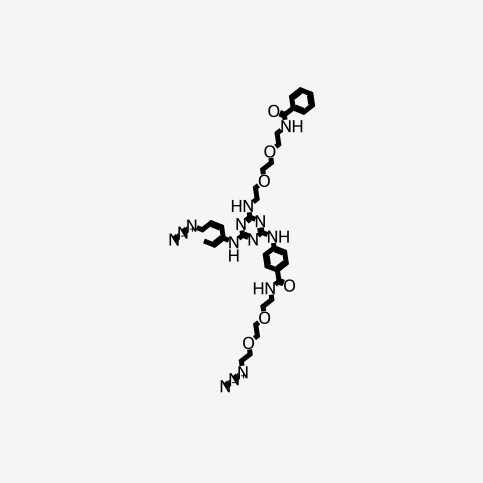 C/C=C(\C=C/CN=[N+]=[N-])Nc1nc(NCCOCCOCCNC(=O)c2ccccc2)nc(Nc2ccc(C(=O)NCCOCCOCCN=[N+]=[N-])cc2)n1